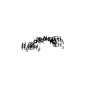 COC(=O)CN(CCCNc1ccc(-c2ccnc(Nc3cccc(CO[Si](C)(C)C(C)(C)C)c3)n2)cn1)C(=O)OC(C)(C)C